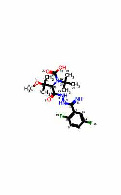 COC(C)(C)[C@H](C(=O)NNC(=N)c1cc(F)ccc1F)N(C(=O)O)C(C)(C)C